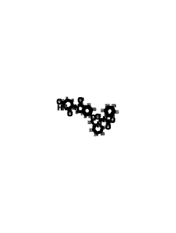 O=C1CCC(N2Cc3cc(OC[C@@H]4CCCCN4C(=O)n4c(=O)oc5ccccc54)ccc3C2=O)C(=O)N1